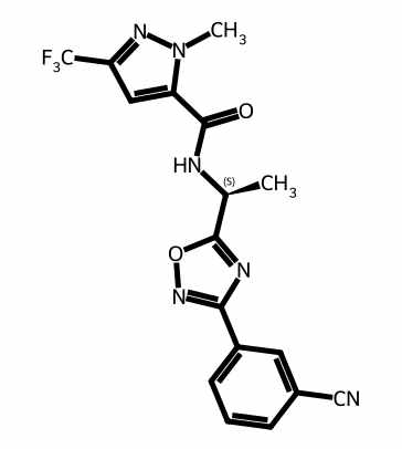 C[C@H](NC(=O)c1cc(C(F)(F)F)nn1C)c1nc(-c2cccc(C#N)c2)no1